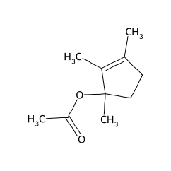 CC(=O)OC1(C)CCC(C)=C1C